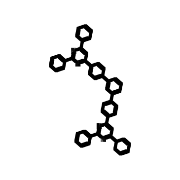 C1=CCC(c2cc(-c3ccc(-c4cccc(-c5ccc(-c6cc(-c7ccccc7)nc(-c7ccccc7)n6)cc5)c4)cc3)nc(-c3ccccc3)n2)C=C1